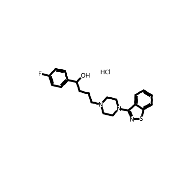 Cl.OC(CCCN1CCN(c2nsc3ccccc23)CC1)c1ccc(F)cc1